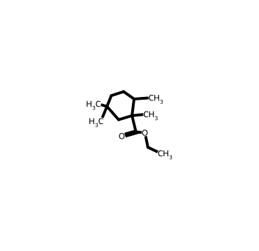 CCOC(=O)C1(C)CC(C)(C)CCC1C